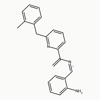 C=C(/N=C\c1ccccc1N)c1cccc(Cc2ccccc2C)n1